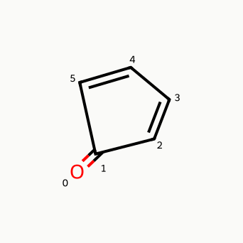 O=C1C=CC=C1